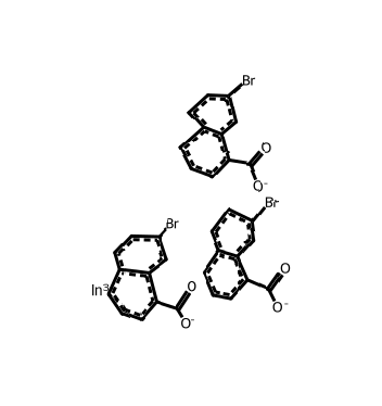 O=C([O-])c1cccc2ccc(Br)cc12.O=C([O-])c1cccc2ccc(Br)cc12.O=C([O-])c1cccc2ccc(Br)cc12.[In+3]